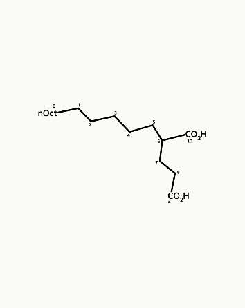 CCCCCCCCCCCCCC(CCC(=O)O)C(=O)O